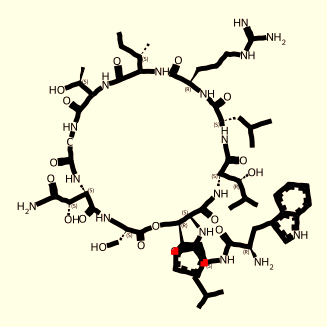 CC[C@H](C)C1NC(=O)[C@@H](CCCNC(=N)N)NC(=O)[C@H](CC(C)C)NC(=O)[C@H]([C@H](O)C(C)C)NC(=O)[C@@H](NC(=O)[C@H](CC(C)C)NC(=O)[C@H](N)Cc2c[nH]c3ccccc23)[C@@H](c2ccccc2)OC(=O)[C@H](CO)NC(=O)[C@H]([C@H](O)C(N)=O)NC(=O)CNC(=O)C([C@H](C)O)NC1=O